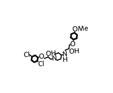 COc1ccc(OC[C@@H](O)CNC2CCN(C[C@H](O)COc3cc(Cl)ccc3Cl)CC2)cc1